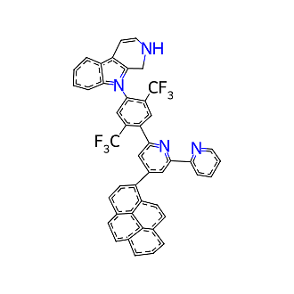 FC(F)(F)c1cc(-n2c3c(c4ccccc42)C=CNC3)c(C(F)(F)F)cc1-c1cc(-c2ccc3ccc4cccc5ccc2c3c45)cc(-c2ccccn2)n1